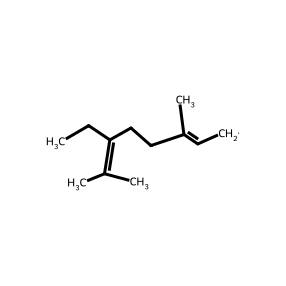 [CH2]/C=C(\C)CCC(CC)=C(C)C